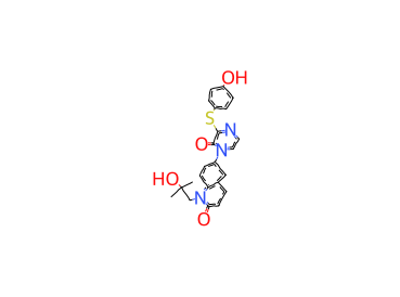 CC(C)(O)Cn1c(=O)ccc2cc(-n3ccnc(Sc4ccc(O)cc4)c3=O)ccc21